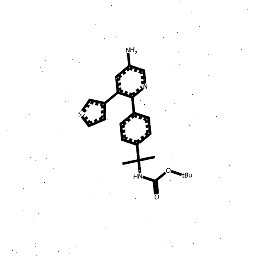 CC(C)(C)OC(=O)NC(C)(C)c1ccc(-c2ncc(N)cc2-c2ccsc2)cc1